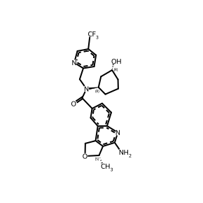 C[C@@H]1OCc2c1c(N)nc1ccc(C(=O)N(Cc3ccc(C(F)(F)F)cn3)[C@@H]3CCC[C@@H](O)C3)cc21